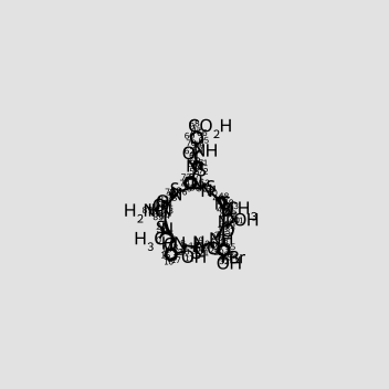 Cc1sc2nc1C(=O)N[C@@H]([C@H](O)c1ccccc1)c1nc(cs1)C(=O)N[C@@H](Cc1ccc(O)c(Br)c1)C(=O)N1C[C@H](O)[C@H](C)[C@H]1c1nc(cs1)-c1nc(cs1)-c1nc(-c3nc(C(=O)N[C@H]4CC[C@H](C(=O)O)CC4)cs3)ccc1-c1nc(cs1)C(=O)N[C@H]2CC(N)=O